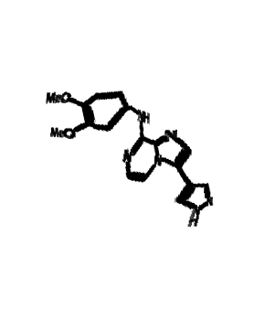 COc1ccc(Nc2nccn3c(-c4cn[nH]c4)cnc23)cc1OC